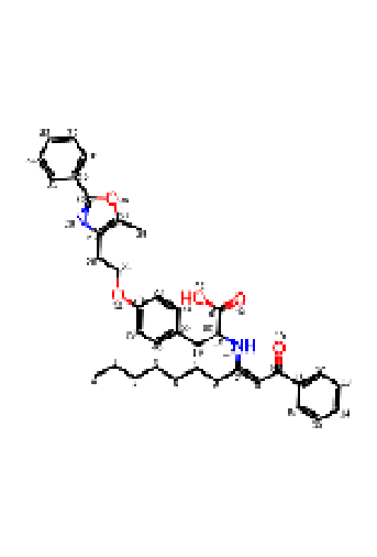 CCCCCCCC(=CC(=O)c1ccccc1)N[C@@H](Cc1ccc(OCCc2nc(-c3ccccc3)oc2C)cc1)C(=O)O